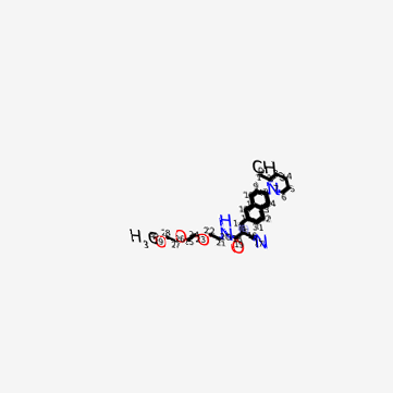 CCC1CCCCN1c1ccc2cc(/C=C(\C#N)C(=O)NCCOCCOCCOC)ccc2c1